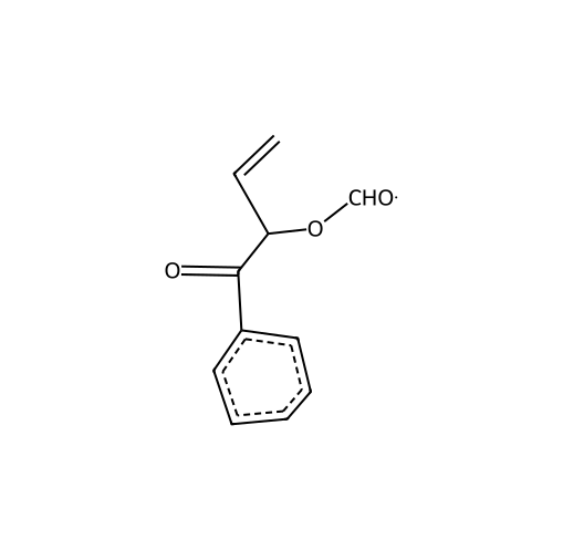 C=CC(O[C]=O)C(=O)c1ccccc1